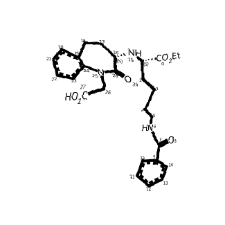 CCOC(=O)[C@H](CCCCNC(=O)c1ccccc1)N[C@H]1CCc2ccccc2N(CC(=O)O)C1=O